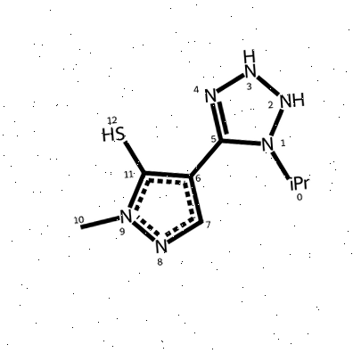 CC(C)N1NNN=C1c1cnn(C)c1S